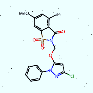 COc1cc(C(C)C)c2c(c1)S(=O)(=O)N(COc1cc(Cl)nn1-c1ccccc1)C2=O